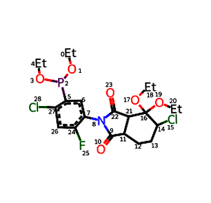 CCOP(OCC)c1cc(N2C(=O)C3CCC(Cl)C(OCC)(OCC)C3C2=O)c(F)cc1Cl